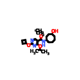 CC(C)Oc1nc(OC2CCC2)ncc1C(=O)N[C@@H]1[CH]CCC[C@H](O)CC1.[CH2].[CH2]